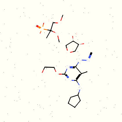 C=NN(c1nc(OC[C@@H](C)O)nc(NC2CCCC2)c1C)[C@@H]1O[C@H](COC(C)(COC)P(=O)(O)O)[C@@H](O)[C@H]1O